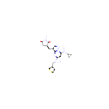 O=C1CC(=Cc2cnn3c(NC4CC4)cc(NCc4ccsc4)nc23)C(=O)N1